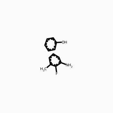 Cc1cccc(N)c1F.Oc1ccccc1